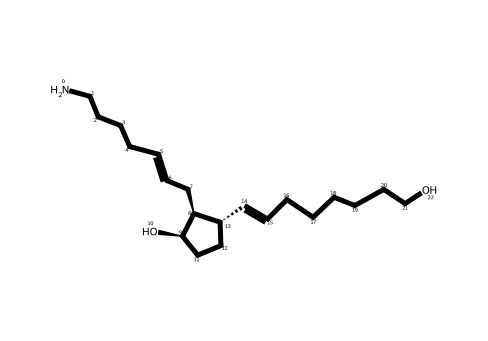 NCCCCC=CC[C@@H]1[C@H](O)CC[C@H]1C=CCCCCCCO